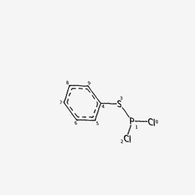 ClP(Cl)Sc1ccccc1